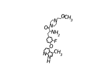 COCCN1CCN(C(=O)C(N)Cc2ccc(Oc3ccnc4[nH]cc(C)c34)c(F)c2)CC1